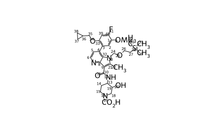 COc1cc(-c2ccnc3c(C(=O)NC4CCN(C(=O)O)CC4O)c(C)n(COCC[Si](C)(C)C)c23)c(OCC2CC2)cc1F